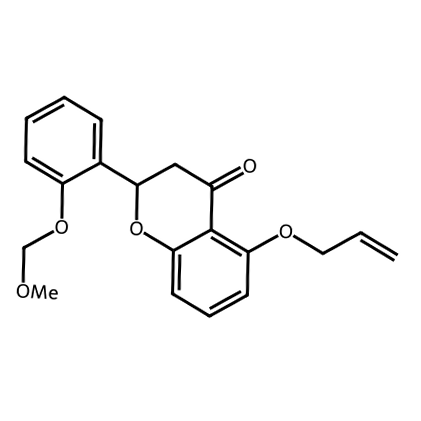 C=CCOc1cccc2c1C(=O)CC(c1ccccc1OCOC)O2